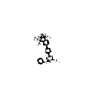 Cc1nc(Sc2ccccc2)nc(-c2ccc(-c3ccc4c(c3)C(C)(C)C(C)(C)C4(C)C)nc2)n1